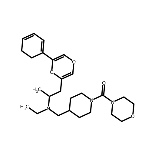 CCN(CC1CCN(C(=O)N2CCOCC2)CC1)C(C)CC1=COC=C(C2=CC=CCC2)O1